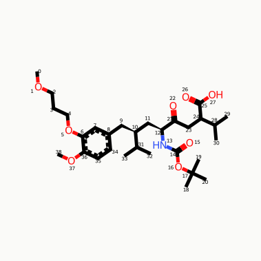 COCCCOc1cc(C[C@@H](C[C@H](NC(=O)OC(C)(C)C)C(=O)CC(C(=O)O)C(C)C)C(C)C)ccc1OC